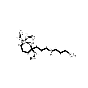 CCOC1(CCCNCCCN)CCC[Si](OCC)(OCC)O1